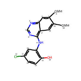 COc1cc2ncnc(Nc3cc(Cl)ccc3O)c2cc1OC